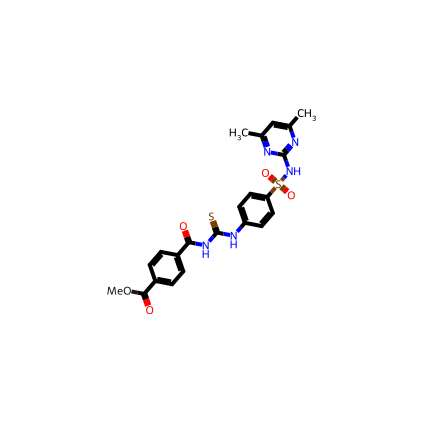 COC(=O)c1ccc(C(=O)NC(=S)Nc2ccc(S(=O)(=O)Nc3nc(C)cc(C)n3)cc2)cc1